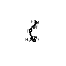 CC(C)(CCCCSc1ccc(CNCCCO[PH](=O)O)cc1F)c1ccccc1F